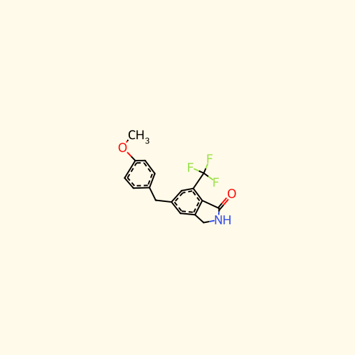 COc1ccc(Cc2cc3c(c(C(F)(F)F)c2)C(=O)NC3)cc1